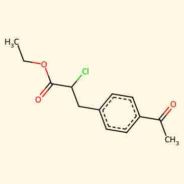 CCOC(=O)C(Cl)Cc1ccc(C(C)=O)cc1